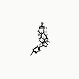 Cc1ccc(C2CC[C@H]3[C@@H]4CCC5NC(=O)CC[C@]5(C)[C@@H]4CC[C@]23C)cc1